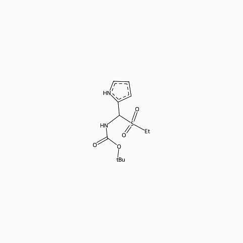 CCS(=O)(=O)C(NC(=O)OC(C)(C)C)c1ccc[nH]1